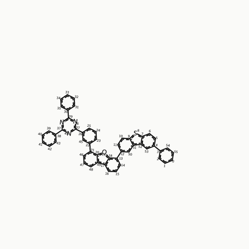 c1ccc(-c2ccc3sc4ccc(-c5cccc6c5oc5c(-c7cccc(-c8nc(-c9ccccc9)nc(-c9ccccc9)n8)c7)cccc56)cc4c3c2)cc1